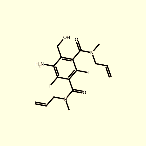 C=CCN(C)C(=O)c1c(I)c(N)c(CO)c(C(=O)N(C)CC=C)c1I